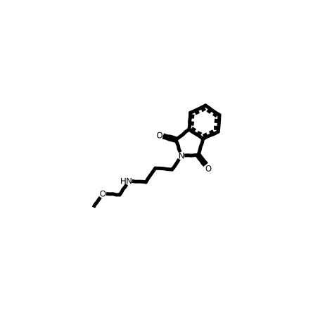 COCNCCCN1C(=O)c2ccccc2C1=O